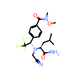 CON(C)C(=O)c1ccc([C@H](N(CC#N)[C@@H](CC(C)C)C(N)=O)C(F)(F)F)cc1